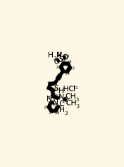 CC(C)(C)Nc1c(-c2ccc(C#Cc3cccc(S(N)(=O)=O)c3)s2)nc2ccccn12.Cl